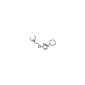 CCN(CC)CCOc1ccn(C2CCCCC2)n1